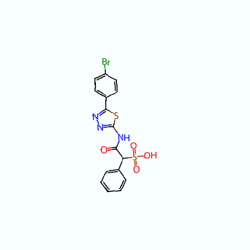 O=C(Nc1nnc(-c2ccc(Br)cc2)s1)C(c1ccccc1)S(=O)(=O)O